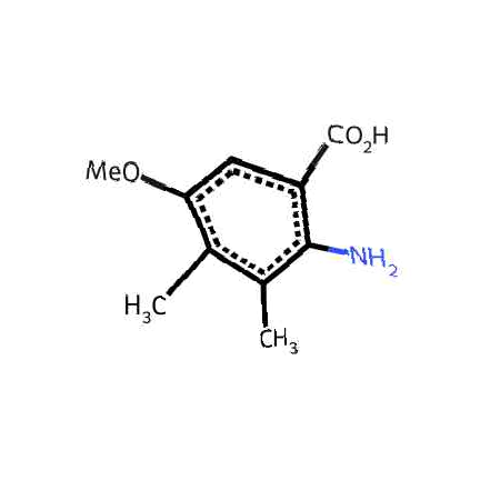 COc1cc(C(=O)O)c(N)c(C)c1C